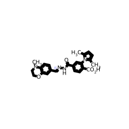 Cc1ccc(C)n1-c1cc(C(=O)N/N=C/c2ccc3c(c2)OCCN3C)ccc1C(=O)O